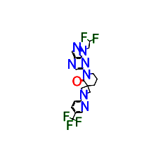 O=C1N(c2cnc3cnn(CC(F)F)c3n2)CCCC12CN(c1ccc(C(F)(F)F)cn1)C2